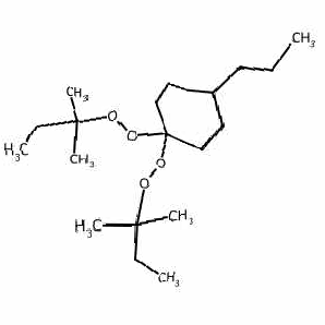 CCCC1CCC(OOC(C)(C)CC)(OOC(C)(C)CC)CC1